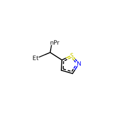 CCCC(CC)c1ccns1